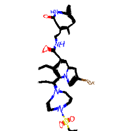 CCS(=O)(=O)N1CCN(C(C)c2c(C)c(C(=O)NCc3c(C)cc(C)[nH]c3=O)cc3cc(Br)cn23)CC1